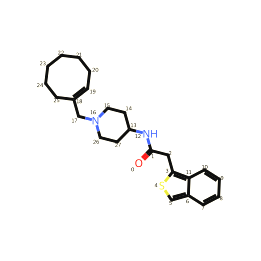 O=C(Cc1scc2ccccc12)NC1CCN(C/C2=C/CCCCCC2)CC1